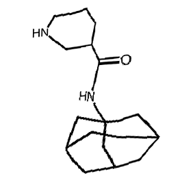 O=C(NC12CC3CC(CC(C3)C1)C2)C1CCCNC1